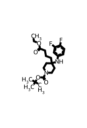 CCOC(=O)CCCC1(Nc2ccc(F)c(F)c2)CCN(C(=O)OC(C)(C)C)CC1